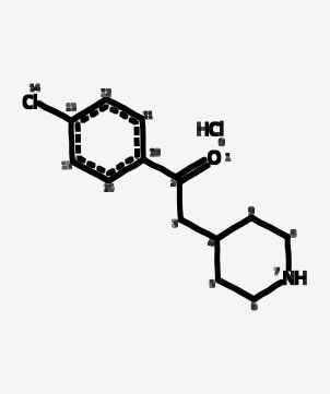 Cl.O=C(CC1CCNCC1)c1ccc(Cl)cc1